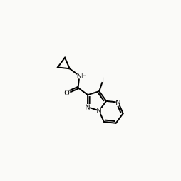 O=C(NC1CC1)c1nn2cccnc2c1I